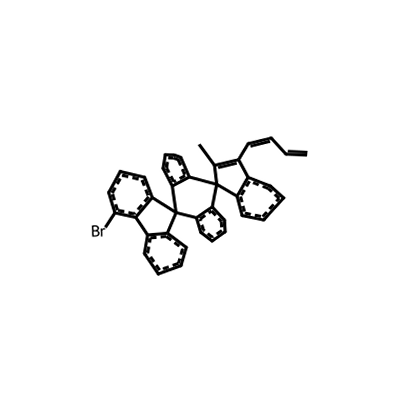 C=C/C=C\C1=C(C)C2(c3ccccc31)c1ccccc1C1(c3ccccc3-c3c(Br)cccc31)c1ccccc12